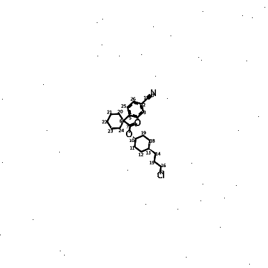 N#Cc1ccc(C2(C(=O)O[C@H]3CC[C@H](CCCCl)CC3)CCCCC2)cc1